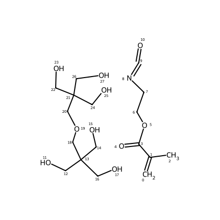 C=C(C)C(=O)OCCN=C=O.OCC(CO)(CO)COCC(CO)(CO)CO